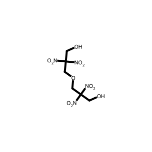 O=[N+]([O-])C(CO)(COCC(CO)([N+](=O)[O-])[N+](=O)[O-])[N+](=O)[O-]